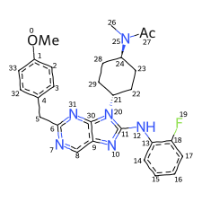 COc1ccc(Cc2ncc3nc(Nc4ccccc4F)n([C@H]4CC[C@H](N(C)C(C)=O)CC4)c3n2)cc1